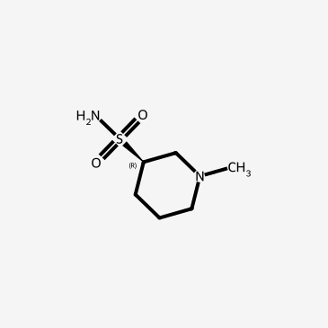 CN1CCC[C@@H](S(N)(=O)=O)C1